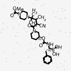 COC(=O)N1CCN(C(C)(C)C(C)C(C#N)C(=O)N2CCC[C@H](OC(=O)N[C@@H](Cc3ccccc3)B(O)O)C2)CC1